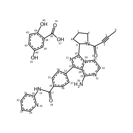 CC#CC(=O)N1CCCC1c1nc(-c2ccc(C(=O)Nc3ccccn3)cc2)c2c(N)nccn12.O=C(O)c1cc(O)ccc1O